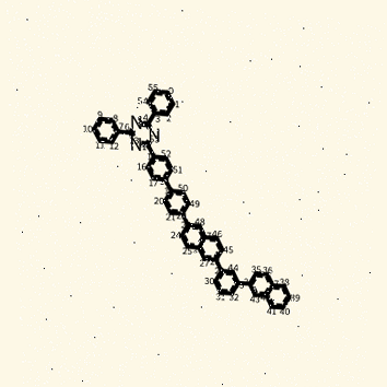 c1ccc(-c2nc(-c3ccccc3)nc(-c3ccc(-c4ccc(-c5ccc6cc(-c7cccc(-c8ccc9ccccc9c8)c7)ccc6c5)cc4)cc3)n2)cc1